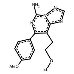 CCOCCc1c(-c2ccc(OC)cc2)nc(N)n2ncnc12